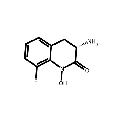 N[C@H]1Cc2cccc(F)c2N(O)C1=O